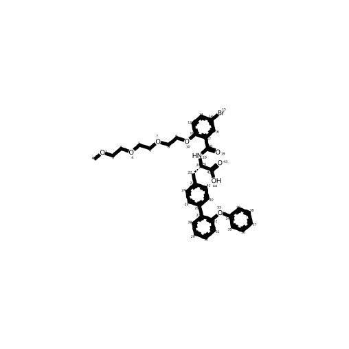 COCCOCCOCCOc1ccc(Br)cc1C(=O)N[C@@H](Cc1ccc(-c2ccccc2Oc2ccccc2)cc1)C(=O)O